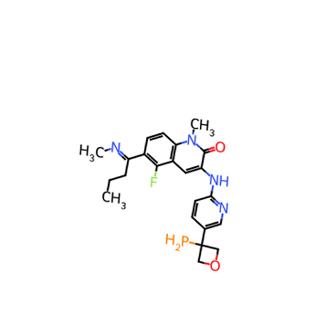 CCC/C(=N\C)c1ccc2c(cc(Nc3ccc(C4(P)COC4)cn3)c(=O)n2C)c1F